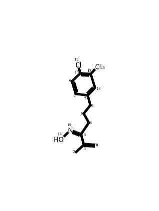 C=C(C)C(CCCc1ccc(Cl)c(Cl)c1)=NO